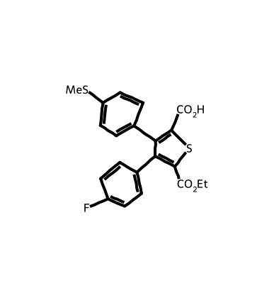 CCOC(=O)c1sc(C(=O)O)c(-c2ccc(SC)cc2)c1-c1ccc(F)cc1